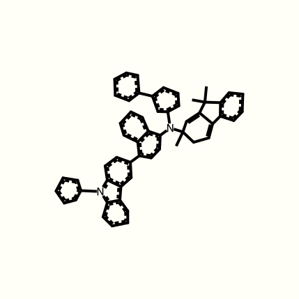 CC1(C)C2=CC(C)(N(c3cccc(-c4ccccc4)c3)c3ccc(-c4ccc5c(c4)c4ccccc4n5-c4ccccc4)c4ccccc34)CC=C2c2ccccc21